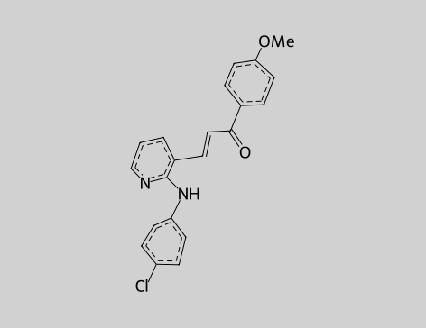 COc1ccc(C(=O)C=Cc2cccnc2Nc2ccc(Cl)cc2)cc1